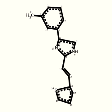 Cc1cccc(-c2c[nH]c(/C=C/c3cccs3)n2)c1